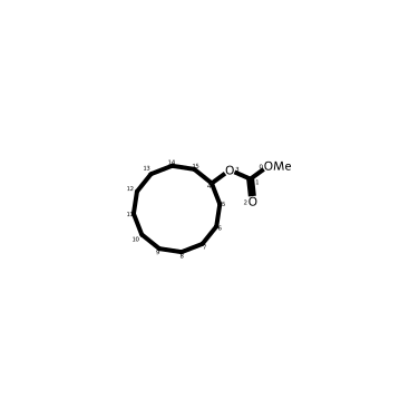 [CH2]OC(=O)OC1CCCCCCCCCCC1